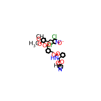 COc1ccc(C(Cc2c(Cl)c[n+]([O-])cc2Cl)OC(=O)c2cccc(COC(=O)NC(C(=O)O[C@H]3CN4CCC3CC4)c3ccccc3)c2)cc1OC